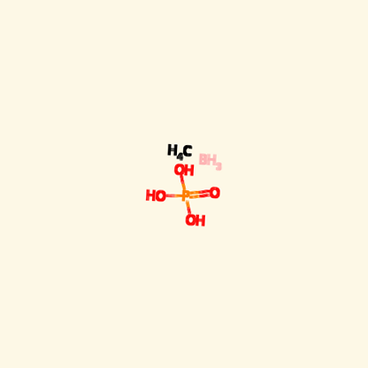 B.C.O=P(O)(O)O